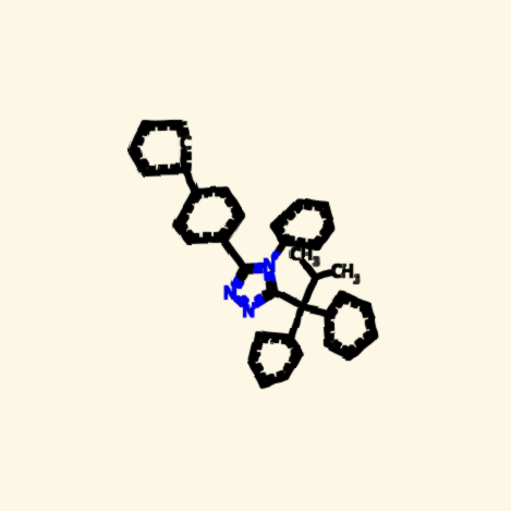 CC(C)C(c1ccccc1)(c1ccccc1)c1nnc(-c2ccc(-c3ccccc3)cc2)n1-c1ccccc1